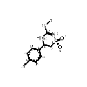 CSC1=NS(=O)(=O)CC(c2ccc(I)cc2)N1